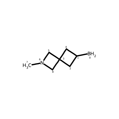 BC1CC2(C1)CN(C)C2